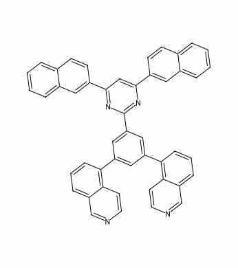 c1ccc2cc(-c3cc(-c4ccc5ccccc5c4)nc(-c4cc(-c5cccc6cnccc56)cc(-c5cccc6cnccc56)c4)n3)ccc2c1